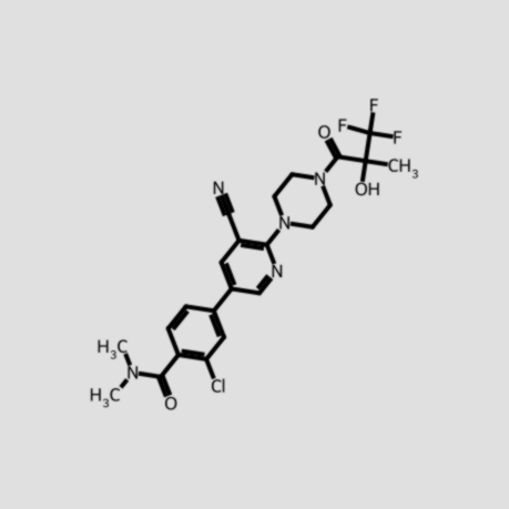 CN(C)C(=O)c1ccc(-c2cnc(N3CCN(C(=O)C(C)(O)C(F)(F)F)CC3)c(C#N)c2)cc1Cl